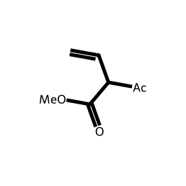 C=CC(C(C)=O)C(=O)OC